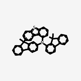 CC1(C)c2ccccc2-c2ccc(N(c3cccc4c3C(C)(C)c3ccccc3-4)c3cccc4sc5ccccc5c34)cc21